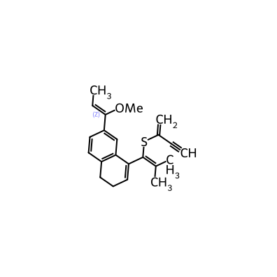 C#CC(=C)SC(C1=CCCc2ccc(/C(=C/C)OC)cc21)=C(C)C